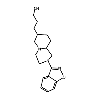 N#CCCCC1CCC2CN(c3noc4ccccc34)CCN2C1